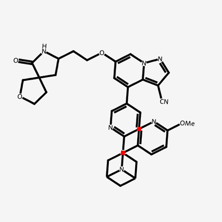 COc1ccc(CN2C3CC2CN(c2ccc(-c4cc(OCCC5CC6(CCOC6)C(=O)N5)cn5ncc(C#N)c45)cn2)C3)cn1